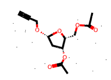 C#CCO[C@H]1C[C@@H](OC(C)=O)[C@@H](COC(C)=O)O1